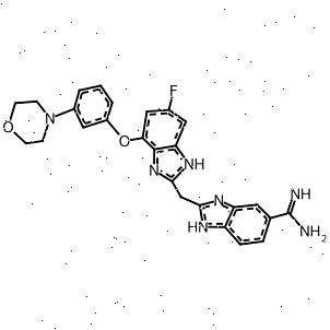 N=C(N)c1ccc2[nH]c(Cc3nc4c(Oc5cccc(N6CCOCC6)c5)cc(F)cc4[nH]3)nc2c1